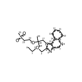 CCOCc1nc2cnc3ccccc3c2n1CC(C)(C)OCCS(C)(=O)=O